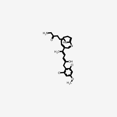 COc1cc(Cl)c(C/C(O)=C/C=C(C)/C2=C/CCC/C=C(NCCCC(=O)CN)/N=C\2)c(Cl)c1